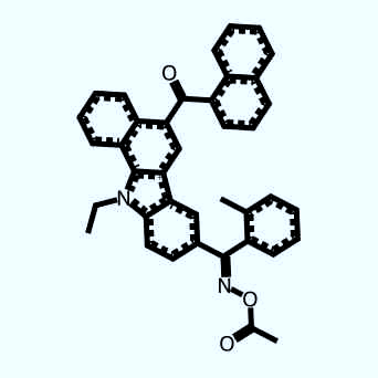 CCn1c2ccc(/C(=N/OC(C)=O)c3ccccc3C)cc2c2cc(C(=O)c3cccc4ccccc34)c3ccccc3c21